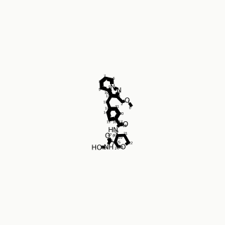 COCc1nn2ccccc2c1Cc1ccc(C(=O)N[C@@H]2CCOC[C@@H]2C(=O)NO)cc1